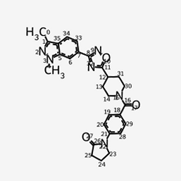 Cc1nn(C)c2cc(-c3noc(C4CCN(C(=O)c5ccc(N6CCCC6=O)cc5)CC4)n3)ccc12